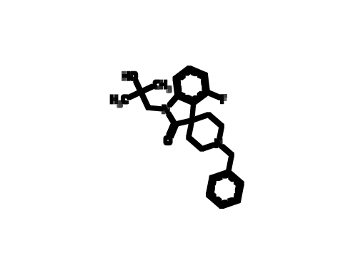 CC(C)(O)CN1C(=O)C2(CCN(Cc3ccccc3)CC2)c2c(F)cccc21